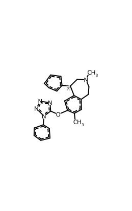 Cc1cc2c(cc1Oc1nnnn1-c1ccccc1)[C@@H](c1ccccc1)CN(C)CC2